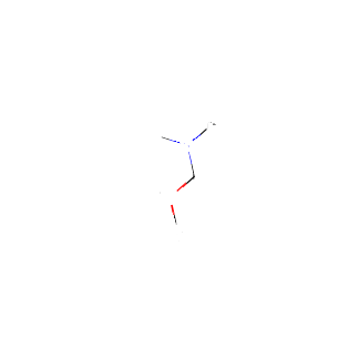 CCCN([CH]OCC)C=O